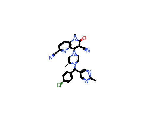 Cc1ncc(C(c2ccc(Cl)cc2)N2CCN(c3c(C#N)c(=O)n(C)c4ccc(C#N)nc34)C[C@H]2C)cn1